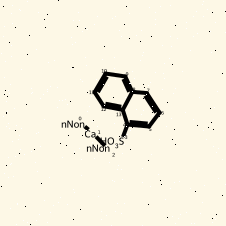 CCCCCCCC[CH2][Ca][CH2]CCCCCCCC.O=S(=O)(O)c1cccc2ccccc12